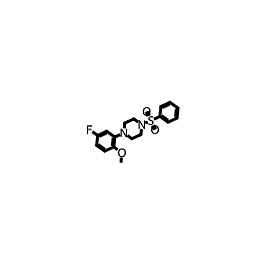 COc1ccc(F)cc1N1CCN(S(=O)(=O)c2ccccc2)CC1